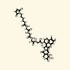 CC[C@@]1(O)C(=O)OCc2c1cc1n(c2=O)Cc2c-1nc1cc(F)c(C)c3c1c2[C@@H](NC(=O)CNC(=O)[C@H](C)NC(=O)CNC(=O)CNC(=O)CCCCCN1C(=O)C=CC1=O)CC3